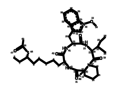 CCC(CCCCC[C@@H]1NC(=O)[C@H]2CCCCN2C(=O)[C@H](C(C)CC)NC(=O)[C@H](Cc2cn(OC)c3ccccc23)NC1=O)SC(C)=O